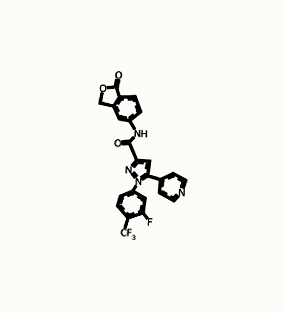 O=C(Nc1ccc2c(c1)COC2=O)c1cc(-c2ccncc2)n(-c2ccc(C(F)(F)F)c(F)c2)n1